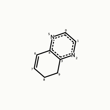 [c]1cnc2c(n1)C=CCC2